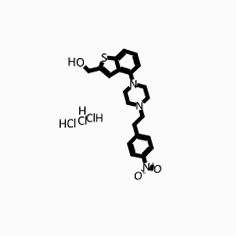 Cl.Cl.Cl.O=[N+]([O-])c1ccc(CCN2CCN(c3cccc4sc(CO)cc34)CC2)cc1